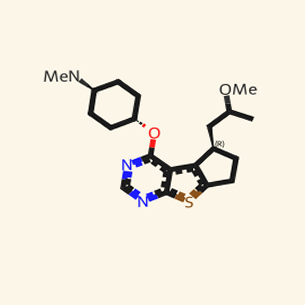 CN[C@H]1CC[C@H](Oc2ncnc3sc4c(c23)[C@@H](CC(C)OC)CC4)CC1